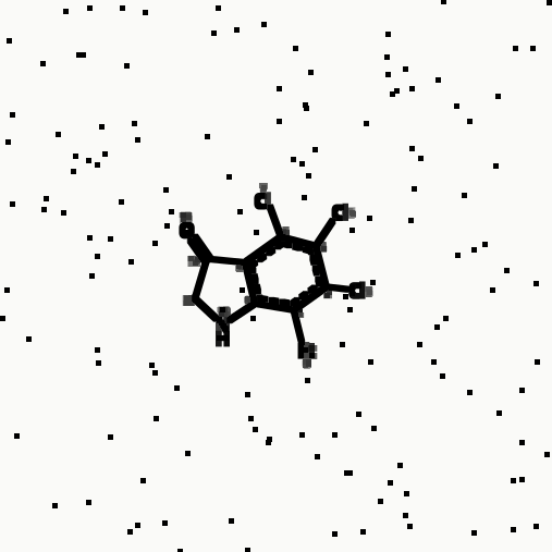 CCc1c(Cl)c(Cl)c(Cl)c2c1NCC2=O